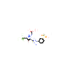 CS(=O)(=O)c1cccc(-c2nsc(-c3c(Br)c(C(F)(F)F)nn3CC(=O)O)n2)c1